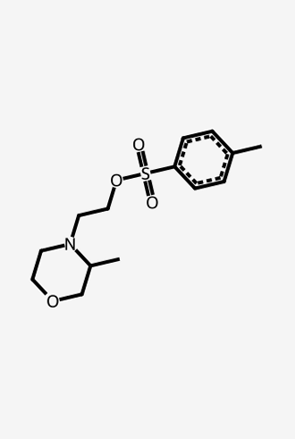 Cc1ccc(S(=O)(=O)OCCN2CCOCC2C)cc1